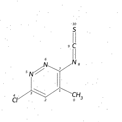 Cc1cc(Cl)nnc1N=C=S